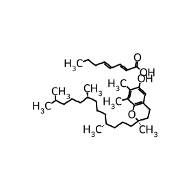 CCCC=CC=CC(=O)O.Cc1c(O)cc2c(c1C)O[C@](C)(CCC[C@H](C)CCC[C@H](C)CCCC(C)C)CC2